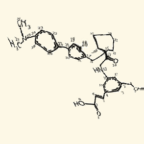 CCc1cc(/C=C/C(=O)O)cc(NC(=O)C2(Cc3ccc(-c4ccc(N(C)C)cc4)cc3)CCCCC2)c1